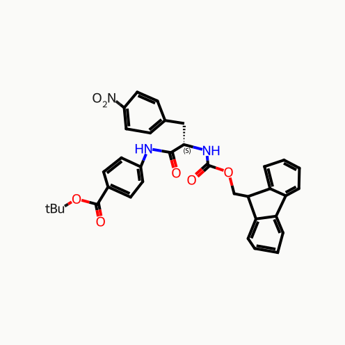 CC(C)(C)OC(=O)c1ccc(NC(=O)[C@H](Cc2ccc([N+](=O)[O-])cc2)NC(=O)OCC2c3ccccc3-c3ccccc32)cc1